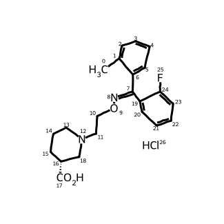 Cc1ccccc1C(=NOCCN1CCC[C@@H](C(=O)O)C1)c1ccccc1F.Cl